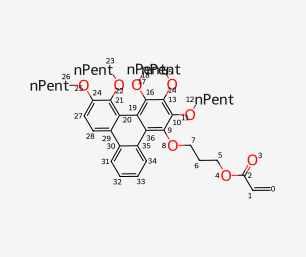 C=CC(=O)OCCCOc1c(OCCCCC)c(OCCCCC)c(OCCCCC)c2c3c(OCCCCC)c(OCCCCC)ccc3c3ccccc3c12